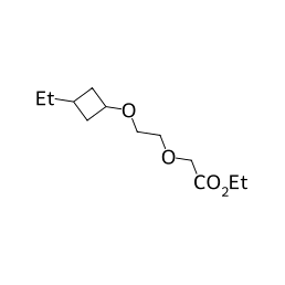 CCOC(=O)COCCOC1CC(CC)C1